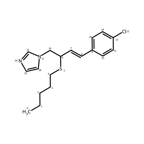 CCCCCSC(/C=C/c1ccc(Cl)cc1)Cn1ccnc1